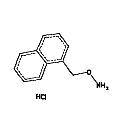 Cl.NOCc1cccc2ccccc12